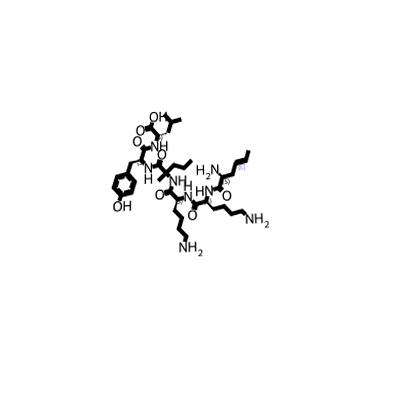 C/C=C/C[C@H](N)C(=O)N[C@@H](CCCCN)C(=O)N[C@@H](CCCCN)C(=O)NC(C)(CCC)C(=O)N[C@@H](Cc1ccc(O)cc1)C(=O)N[C@@H](CC(C)C)C(=O)O